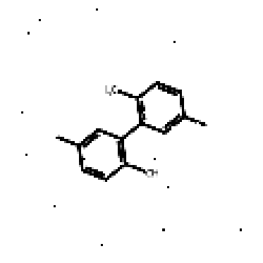 Cc1ccc(I)cc1-c1cc(I)ccc1C